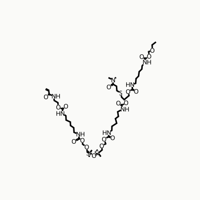 C=CC(=O)NCCOC(=O)NCCCCCCNC(=O)OCOC[Si](C)(C)O[Si](C)(C)COCOC(=O)NCCCCCCNC(=O)OC(COC(=O)NCCCCCCNC(=O)OCOCC)CSCCC(=O)N(C)C